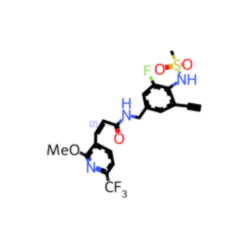 C#Cc1cc(CNC(=O)/C=C\c2ccc(C(F)(F)F)nc2OC)cc(F)c1NS(C)(=O)=O